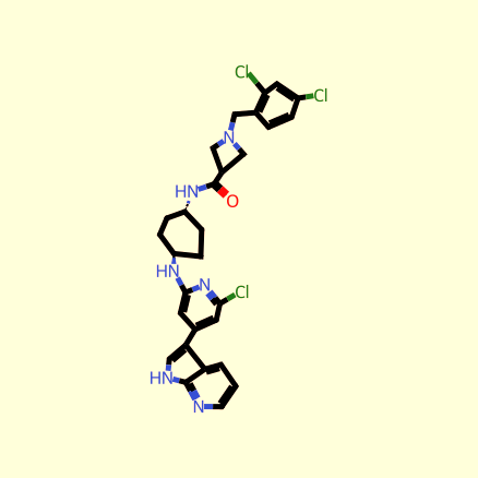 O=C(N[C@H]1CC[C@H](Nc2cc(-c3c[nH]c4ncccc34)cc(Cl)n2)CC1)C1CN(Cc2ccc(Cl)cc2Cl)C1